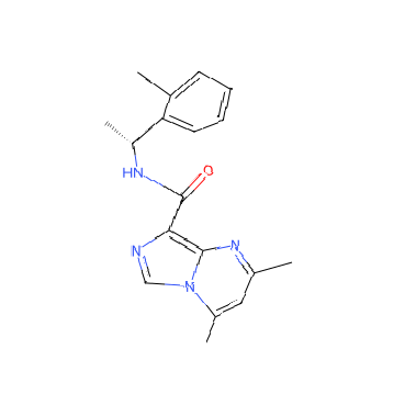 Cc1cc(C)n2cnc(C(=O)N[C@H](C)c3ccccc3C)c2n1